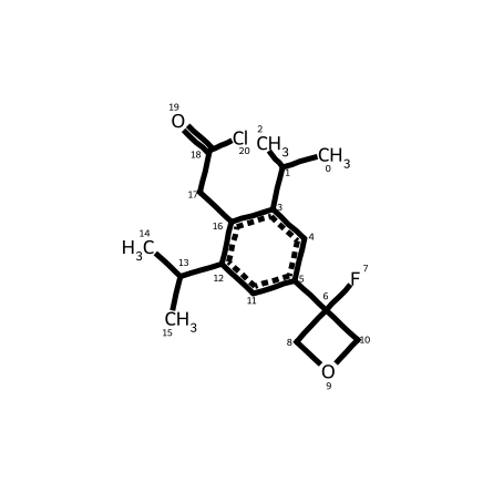 CC(C)c1cc(C2(F)COC2)cc(C(C)C)c1CC(=O)Cl